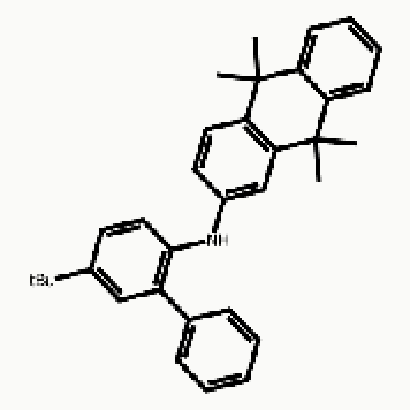 CC(C)(C)c1ccc(Nc2ccc3c(c2)C(C)(C)c2ccccc2C3(C)C)c(-c2ccccc2)c1